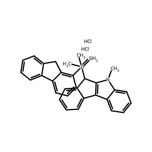 Cl.Cl.Cn1c2c(c3ccccc31)-c1ccccc1[CH]2[Zr]([CH3])([CH3])(=[SiH2])[c]1cccc2c1Cc1ccccc1-2